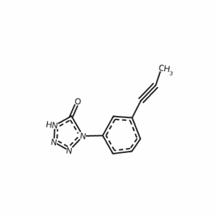 CC#Cc1cccc(-n2nn[nH]c2=O)c1